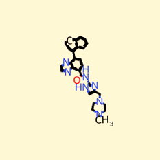 CN1CCN(Cc2c[nH]c(NC(=O)c3ccc(-c4cccc5ccccc45)c4nccnc34)n2)CC1